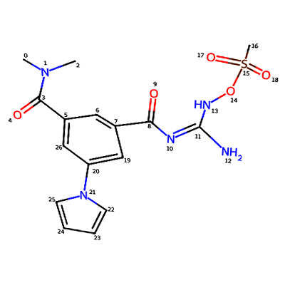 CN(C)C(=O)c1cc(C(=O)N=C(N)NOS(C)(=O)=O)cc(-n2cccc2)c1